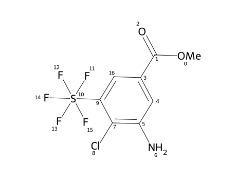 COC(=O)c1cc(N)c(Cl)c(S(F)(F)(F)(F)F)c1